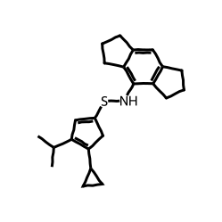 CC(C)C1=C(C2CC2)CC(SNc2c3c(cc4c2CCC4)CCC3)=C1